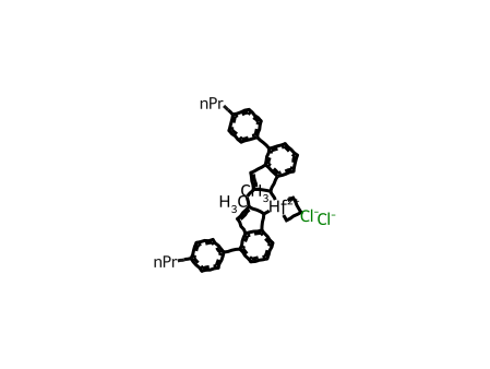 CCCc1ccc(-c2cccc3c2C=C(C)[CH]3[Hf+2]2([CH]3C(C)=Cc4c(-c5ccc(CCC)cc5)cccc43)[CH2]C[CH2]2)cc1.[Cl-].[Cl-]